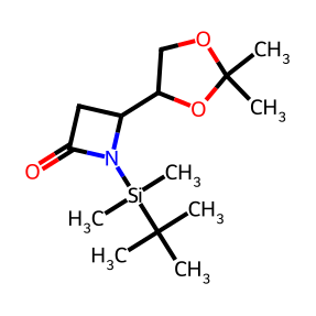 CC1(C)OCC(C2CC(=O)N2[Si](C)(C)C(C)(C)C)O1